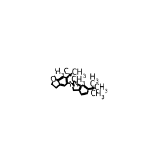 CC(C)(C)c1ccc2c(c1)N=[N+](c1cc3c(cc1C(C)(C)C)OCC3)C2